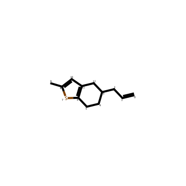 C=CCC1CCc2sc(C)cc2C1